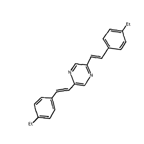 CCc1ccc(/C=C/c2cnc(/C=C/c3ccc(CC)cc3)cn2)cc1